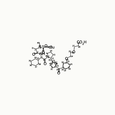 CC(C(=O)NC(C(=O)N1CCC[C@H]1c1nc(C(=O)c2cccc(OCCOCCC(=O)O)c2)cs1)C1CCCCC1)N(C)C(=O)OC(C)(C)C